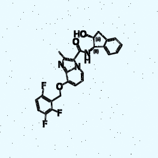 Cc1nc2c(OCc3c(F)ccc(F)c3F)cccn2c1C(=O)N[C@@H]1c2ccccc2C[C@@H]1O